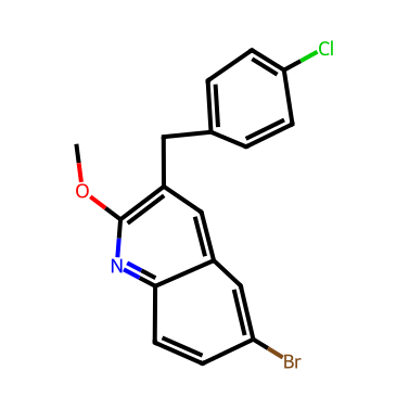 COc1nc2ccc(Br)cc2cc1Cc1ccc(Cl)cc1